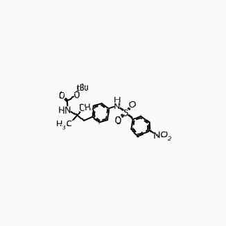 CC(C)(Cc1ccc(NS(=O)(=O)c2ccc([N+](=O)[O-])cc2)cc1)NC(=O)OC(C)(C)C